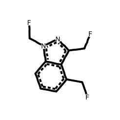 FCc1cccc2c1c(CF)nn2CF